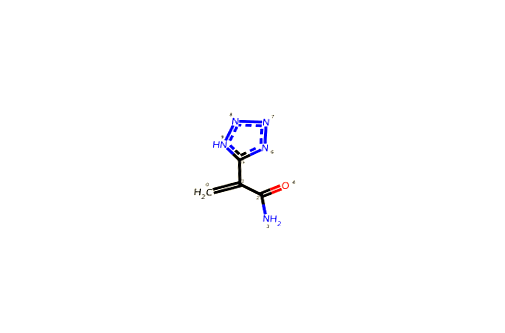 C=C(C(N)=O)c1nnn[nH]1